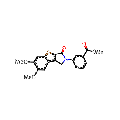 COC(=O)c1cccc(N2Cc3c(sc4cc(OC)c(OC)cc34)C2=O)c1